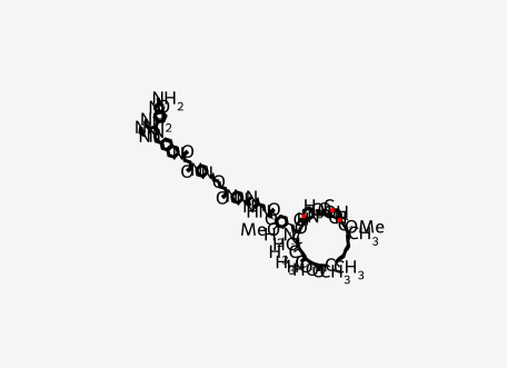 CO[C@H]1C[C@@H]2CC[C@@H](C)[C@@](O)(O2)C(=O)C(=O)N2CCCC[C@H]2C(=O)O[C@H]([C@H](N)C[C@@H]2CC[C@@H](OC(=O)NCc3cnc(N4CCN(C(=O)CCOCCN5CCN(C(=O)CCC(=O)N6CCc7cc(Cn8nc(-c9ccc%10oc(N)nc%10c9)c9c(N)ncnc98)ccc7C6)CC5)CC4)nc3)[C@H](OC)C2)C[C@@H](O)[C@H](C)/C=C(\C)[C@@H](O)[C@@H](O)C(=O)[C@H](C)C[C@H](C)/C=C/C=C/C=C/1C